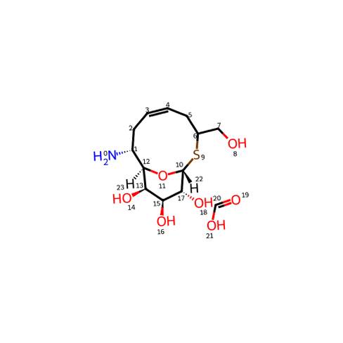 N[C@@H]1CC=CCC(CO)S[C@H]2O[C@H]1[C@H](O)[C@H](O)[C@H]2O.O=CO